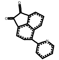 O=C1C(=O)c2ccc(-c3ccccn3)c3cccc1c23